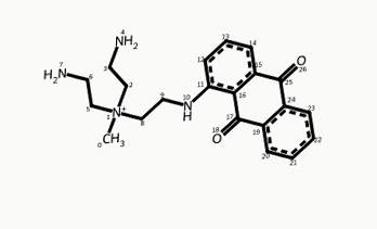 C[N+](CCN)(CCN)CCNc1cccc2c1C(=O)c1ccccc1C2=O